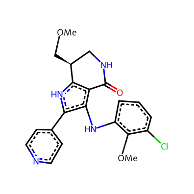 COC[C@H]1CNC(=O)c2c1[nH]c(-c1ccncc1)c2Nc1cccc(Cl)c1OC